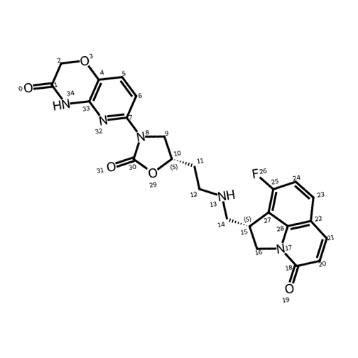 O=C1COc2ccc(N3C[C@H](CCNC[C@H]4Cn5c(=O)ccc6ccc(F)c4c65)OC3=O)nc2N1